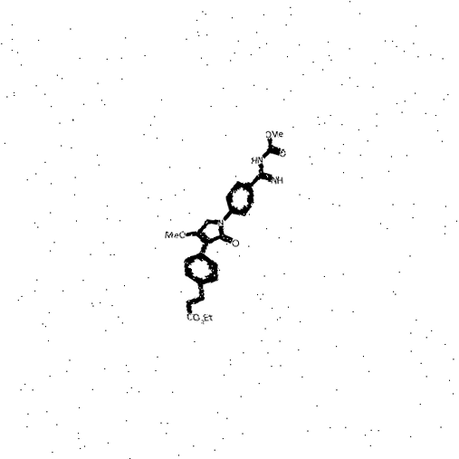 CCOC(=O)CCc1ccc(C2=C(OC)CN(c3ccc(C(=N)NC(=O)OC)cc3)C2=O)cc1